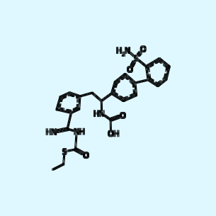 CCSC(=O)NC(=N)c1cccc(CC(NC(=O)O)c2ccc(-c3ccccc3S(N)(=O)=O)cc2)c1